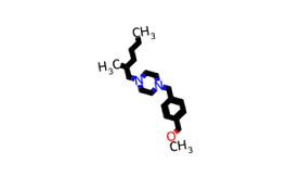 CCCCC(C)CN1CCN(Cc2ccc(COC)cc2)CC1